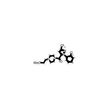 COCCN1CCN(C(=O)c2cc(C(F)(F)F)nn2-c2ccccc2Cl)CC1